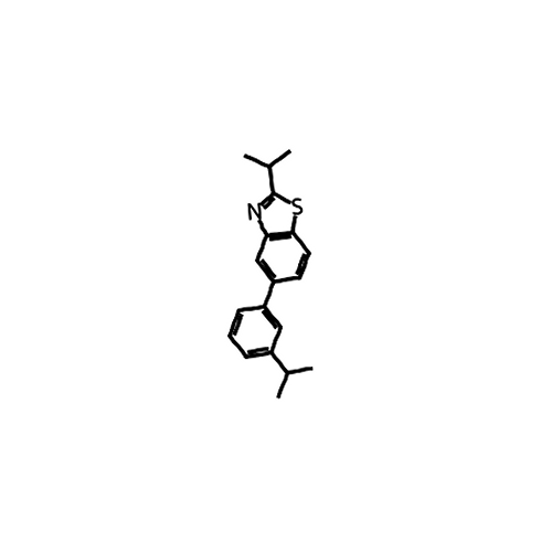 CC(C)c1cccc(-c2ccc3sc(C(C)C)nc3c2)c1